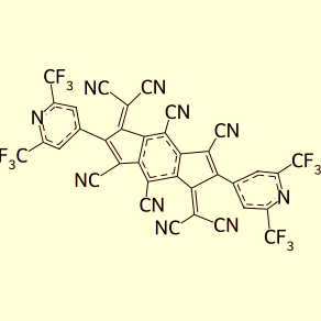 N#CC(C#N)=C1C(c2cc(C(F)(F)F)nc(C(F)(F)F)c2)=C(C#N)c2c(C#N)c3c(c(C#N)c21)C(C#N)=C(c1cc(C(F)(F)F)nc(C(F)(F)F)c1)C3=C(C#N)C#N